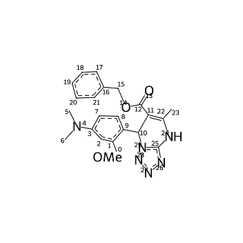 COc1cc(N(C)C)ccc1C1C(C(=O)OCc2ccccc2)=C(C)Nc2nnnn21